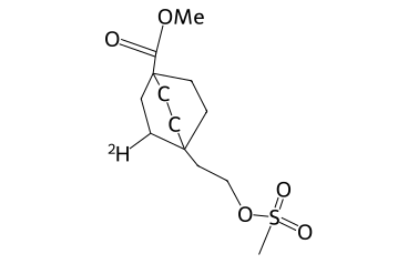 [2H]C1CC2(C(=O)OC)CCC1(CCOS(C)(=O)=O)CC2